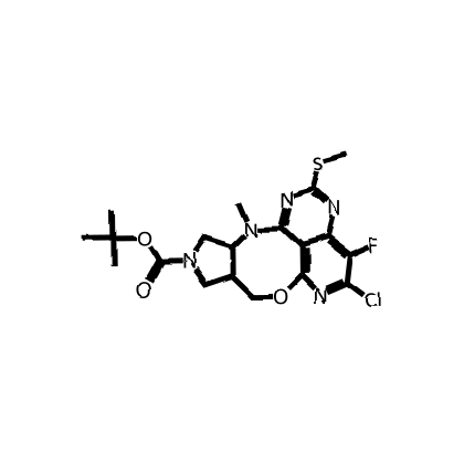 CSc1nc2c3c(nc(Cl)c(F)c3n1)OCC1CN(C(=O)OC(C)(C)C)CC1N2C